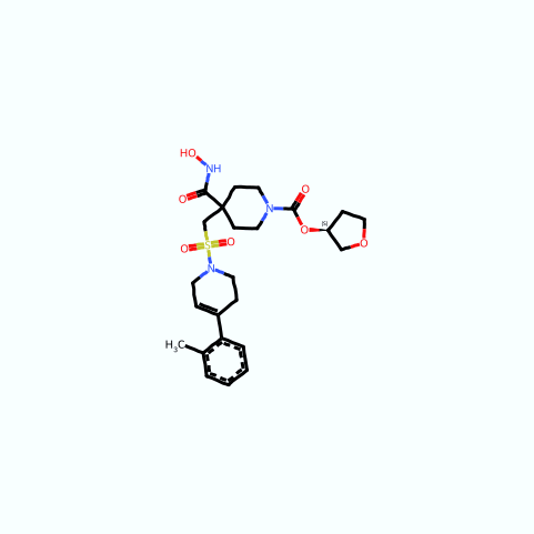 Cc1ccccc1C1=CCN(S(=O)(=O)CC2(C(=O)NO)CCN(C(=O)O[C@H]3CCOC3)CC2)CC1